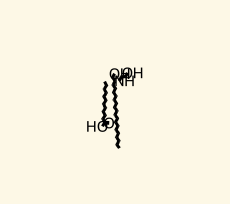 CCCCCCCCCCCC(=O)O.CCCCCCCCCCCCCCCCCCC(CO)NCCO